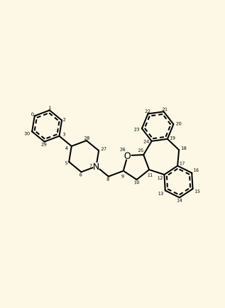 c1ccc(C2CCN(CC3CC4c5ccccc5Cc5ccccc5C4O3)CC2)cc1